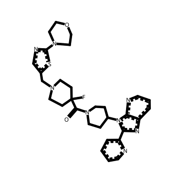 O=C(N1CCC(n2c(-c3ccccn3)nc3cccnc32)CC1)C1(F)CCN(Cc2cnc(N3CCOCC3)s2)CC1